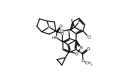 COC(=O)c1ccc(NC(=O)N2C3CCC2CC(OCc2c(-c4c(Cl)cccc4Cl)noc2C2CC2)C3)c(OC(F)(F)F)c1